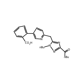 CCCCC(=O)c1nc(Cc2ccc(-c3ccccc3C(=O)O)cn2)n(CCCC)n1